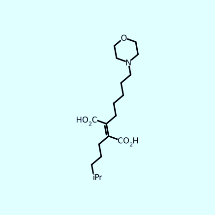 CC(C)CCC/C(C(=O)O)=C(/CCCCCN1CCOCC1)C(=O)O